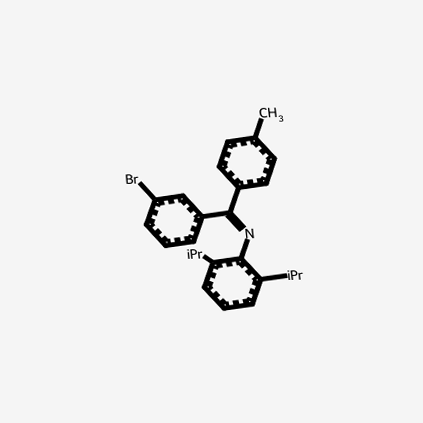 Cc1ccc(C(=Nc2c(C(C)C)cccc2C(C)C)c2cccc(Br)c2)cc1